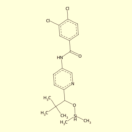 C[SiH](C)OC(c1ccc(NC(=O)c2ccc(Cl)c(Cl)c2)cn1)C(C)(C)C